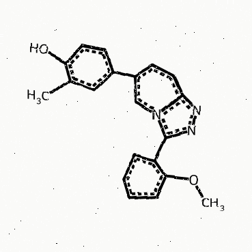 COc1ccccc1-c1nnc2ccc(-c3ccc(O)c(C)c3)cn12